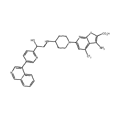 Nc1c(C(=O)O)sc2nc(N3CCC(NCC(O)c4ccc(-c5cncc6ccccc56)cn4)CC3)cc(C(F)(F)F)c12